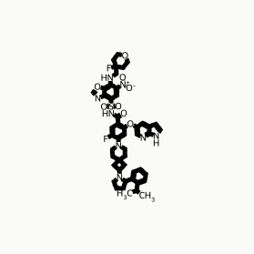 CC(C)c1ccccc1C1CCCN1C1CC2(CCN(c3cc(Oc4cnc5[nH]ccc5c4)c(C(=O)NS(=O)(=O)c4cc([N+](=O)[O-])c(NCC5(F)CCOCC5)c5ocnc45)cc3F)CC2)C1